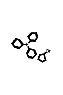 BrC1CCCC1.c1ccc(P(c2ccccc2)c2ccccc2)cc1